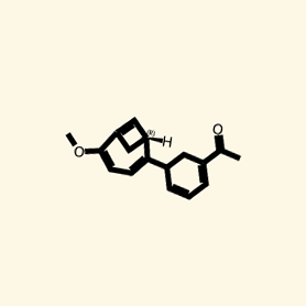 COC1=CC=C(C2C=CC=C(C(C)=O)C2)[C@H]2C=C1C2